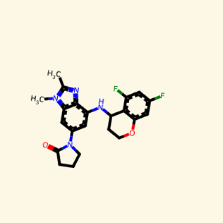 Cc1nc2c(NC3CCOc4cc(F)cc(F)c43)cc(N3CCCC3=O)cc2n1C